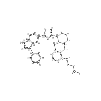 COCCOc1cccc(F)c1CN1CCCC(n2cc(-c3ccc4[nH]nc(-c5ccncc5)c4c3)cn2)C1